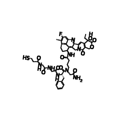 CC[C@@]1(O)C(=O)OCc2c1cc1n(c2=O)Cc2c-1nc1cc(F)c(C)c3c1c2[C@@H](NC(=O)CCCN(CC(N)=O)C(=O)[C@H](Cc1ccccc1)NC(=O)CNC(=O)CNC(=O)CCS)CC3